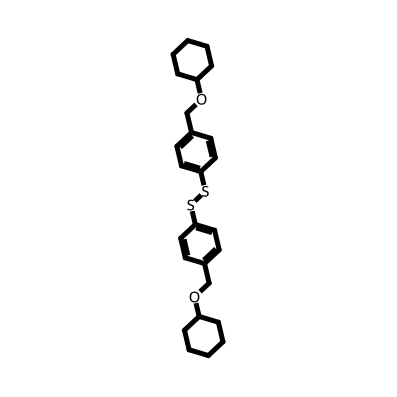 c1cc(SSc2ccc(COC3CCCCC3)cc2)ccc1COC1CCCCC1